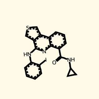 O=C(NC1CC1)c1cccc2c1nc(Nc1ccccc1I)c1cscc12